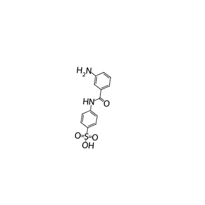 Nc1cccc(C(=O)Nc2ccc(S(=O)(=O)O)cc2)c1